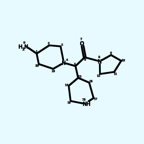 NC1CCN(C(C(=O)N2CCCC2)C2CCNCC2)CC1